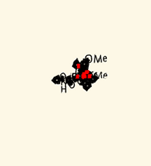 CC=C([Si](c1ccccc1)(c1ccccc1)c1ccccc1)[PH](O)(O[C@H]1C[C@H](n2ccc(NC(=O)c3ccccc3)nc2=O)O[C@@H]1COC(c1ccccc1)(c1ccc(OC)cc1)c1ccc(OC)cc1)N(C(C)C)C(C)C